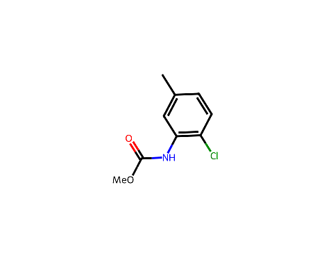 COC(=O)Nc1cc(C)ccc1Cl